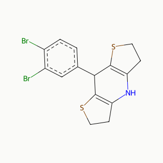 Brc1ccc(C2C3=C(CCS3)NC3=C2SCC3)cc1Br